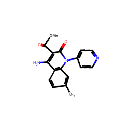 COC(=O)c1c(N)c2ccc(C(F)(F)F)cc2n(-c2ccncc2)c1=O